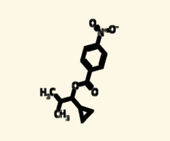 CC(C)C(OC(=O)c1ccc([N+](=O)[O-])cc1)C1CC1